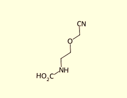 N#CCOCCNC(=O)O